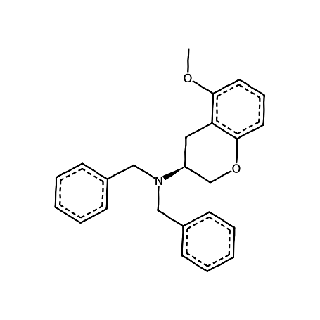 COc1cccc2c1C[C@H](N(Cc1ccccc1)Cc1ccccc1)CO2